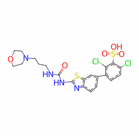 O=C(NCCCN1CCOCC1)Nc1nc2ccc(-c3ccc(Cl)c(S(=O)(=O)O)c3Cl)cc2s1